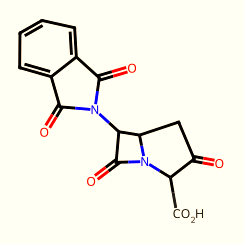 O=C(O)C1C(=O)CC2C(N3C(=O)c4ccccc4C3=O)C(=O)N12